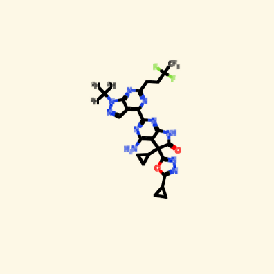 [2H]C([2H])([2H])n1ncc2c(-c3nc(N)c4c(n3)NC(=O)C4(c3nnc(C4CC4)o3)C3CC3)nc(CCC(F)(F)C(F)(F)F)nc21